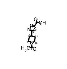 CC(=O)N1CCC(c2nnc(C(=O)O)s2)CC1